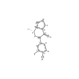 Cc1cc(N2C[C@H](C)n3nccc3C2=O)ccc1Cl